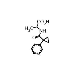 C[C@H](NC(=O)C1(c2ccccc2)CC1)C(=O)O